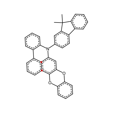 CC1(C)c2ccccc2-c2ccc(N(c3ccc4c(c3)Oc3ccccc3O4)c3ccccc3-c3ccccc3)cc21